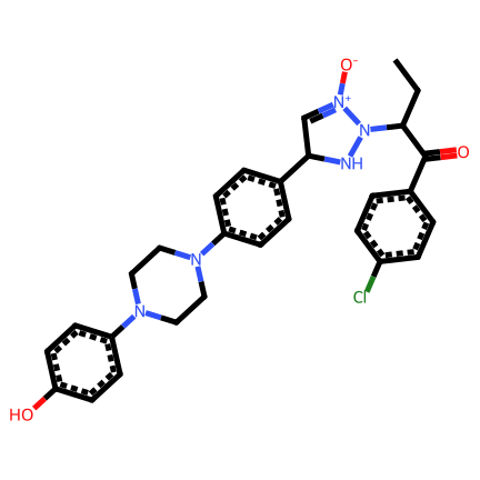 CCC(C(=O)c1ccc(Cl)cc1)N1NC(c2ccc(N3CCN(c4ccc(O)cc4)CC3)cc2)C=[N+]1[O-]